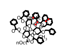 CCCCCCCCO[C@@H]1O[C@H](COC(=O)c2ccccc2)[C@@H](O[C@@H]2O[C@H](COC(=O)c3ccccc3)[C@H](OC(C)=O)[C@H](O)[C@H]2OC(=O)c2ccccc2)[C@H](O[C@@H]2O[C@@H](C)[C@@H](OCc3ccccc3)[C@@H](OCc3ccccc3)[C@@H]2OCc2ccccc2)[C@H]1OC(=O)c1ccccc1